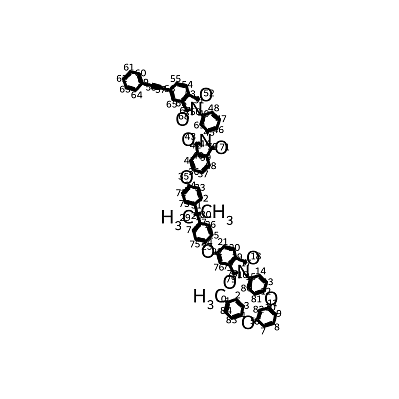 Cc1ccc(Oc2cccc(Oc3ccc(N4C(=O)c5ccc(Oc6ccc(C(C)(C)c7ccc(Oc8ccc9c(c8)C(=O)N(c8cccc(N%10C(=O)c%11ccc(C#Cc%12ccccc%12)cc%11C%10=O)c8)C9=O)cc7)cc6)cc5C4=O)cc3)c2)cc1